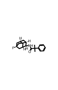 CC(C)(C(=O)N[C@H]1[C@@H]2C[C@@H]3C[C@@H]1C[C@](F)(C2)C3)c1ccccc1